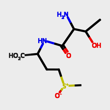 CC(O)C(N)C(=O)NC(CC[S+](C)[O-])C(=O)O